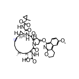 CC[C@@H]1C[C@H](C)CC/C=C\[C@@H]2C[C@@]2(C(=O)NS(=O)(=O)C2(C)CC2)NC(=O)[C@@H]2C[C@@H](Oc3nc4c(c5cc(OC)ccc35)CCCO4)CN2C(=O)[C@H]1NC(=O)O